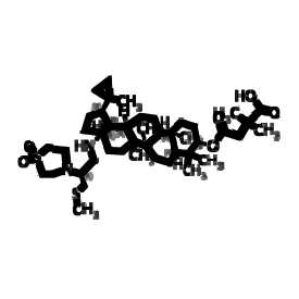 CSC[C@H](CN[C@]12CC[C@@H](C3(C)CC3)[C@@H]1[C@H]1CC[C@@H]3[C@@]4(C)CC[C@H](OC(=O)CC(C)(C)C(=O)O)C(C)(C)[C@@H]4CC[C@@]3(C)[C@]1(C)CC2)N1CCS(=O)(=O)CC1